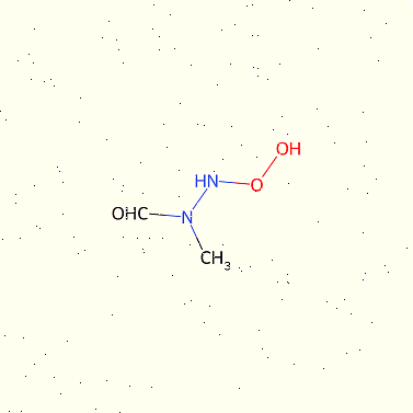 CN(C=O)NOO